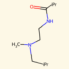 CC(C)CN(C)CCNC(=O)C(C)C